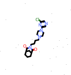 O=C1C2CCCC(C2)C(=O)N1CCCCN1CCN(c2cncc(Cl)n2)CC1